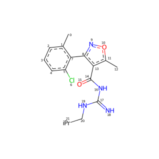 Cc1cccc(Cl)c1-c1noc(C)c1C(=O)NC(=N)NCC(C)C